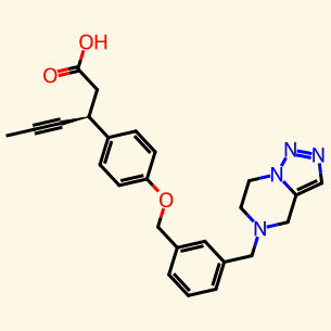 CC#C[C@@H](CC(=O)O)c1ccc(OCc2cccc(CN3CCn4nncc4C3)c2)cc1